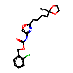 CC1(CCCCc2nc(NC(=O)OCc3ccccc3Cl)co2)OCCO1